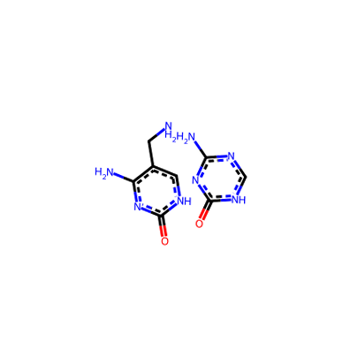 NCc1c[nH]c(=O)nc1N.Nc1nc[nH]c(=O)n1